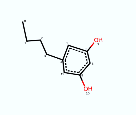 CCCCc1cc(O)cc(O)c1